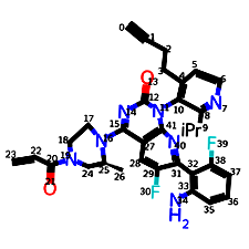 C#CCCc1ccnc(C(C)C)c1-n1c(=O)nc(N2CCN(C(=O)C=C)C[C@@H]2C)c2cc(F)c(-c3c(N)cccc3F)nc21